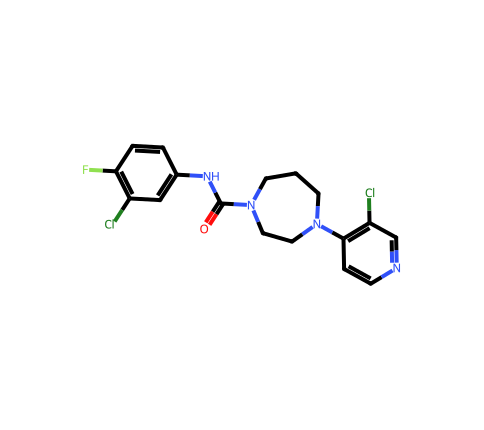 O=C(Nc1ccc(F)c(Cl)c1)N1CCCN(c2ccncc2Cl)CC1